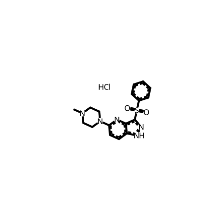 CN1CCN(c2ccc3[nH]nc(S(=O)(=O)c4ccccc4)c3n2)CC1.Cl